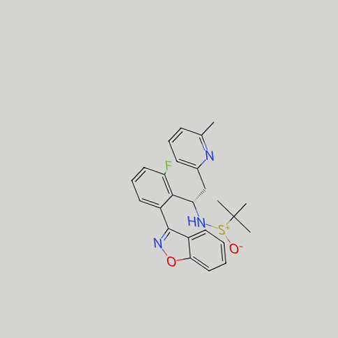 Cc1cccc(C[C@H](N[S+]([O-])C(C)(C)C)c2c(F)cccc2-c2noc3ccccc23)n1